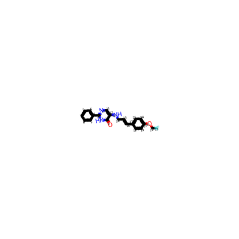 O=c1[nH]c(-c2ccccc2)ncc1NCC=Cc1ccc(OCF)cc1